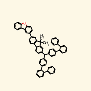 CC1(C)c2cc(-c3ccc4oc5ccccc5c4c3)ccc2-c2ccc(C(c3ccc(-c4ccccc4-c4ccccc4)cc3)c3ccc(-c4ccccc4-c4ccccc4)cc3)cc21